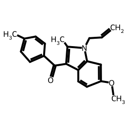 C=CCn1c(C)c(C(=O)c2ccc(C)cc2)c2ccc(OC)cc21